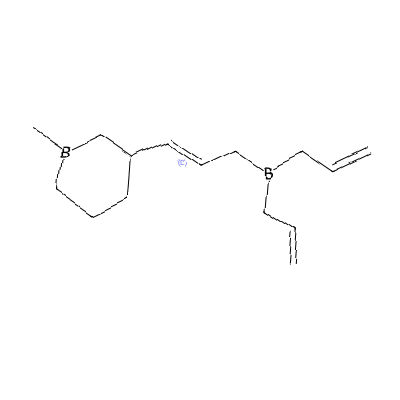 C=CCB(CC=C)C/C=C/C1CCCB(C)C1